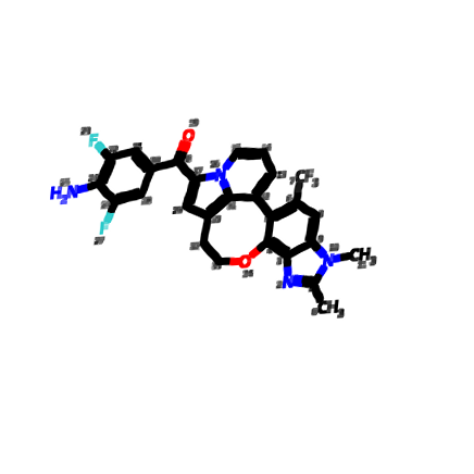 Cc1nc2c3c(c(C(F)(F)F)cc2n1C)-c1cccn2c(C(=O)c4cc(F)c(N)c(F)c4)cc(c12)CCO3